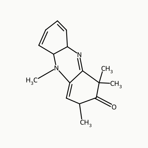 CC1C=C2C(=NC3C=CC=CC3N2C)C(C)(C)C1=O